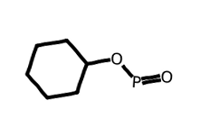 O=POC1CCCCC1